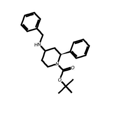 CC(C)(C)OC(=O)N1CCC(NCc2ccccc2)C[C@H]1c1ccccc1